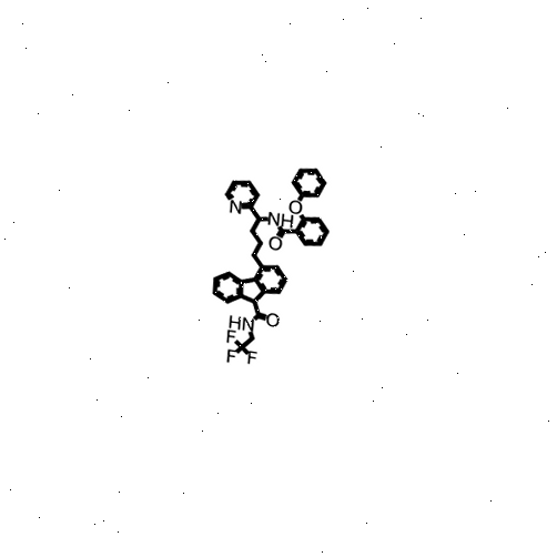 O=C(NC(CCCc1cccc2c1-c1ccccc1C2C(=O)NCC(F)(F)F)c1ccccn1)c1ccccc1Oc1ccccc1